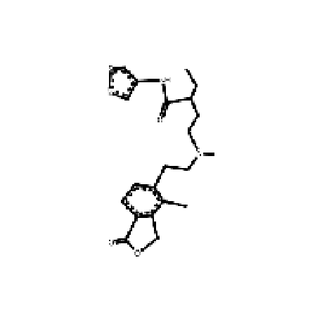 CCC(CCN(C)CCc1ccc2c(c1C)COC2=O)C(=O)Nc1cnsc1